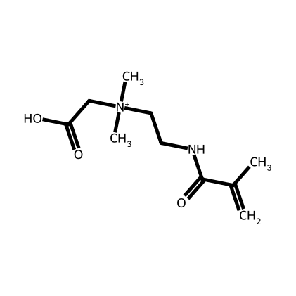 C=C(C)C(=O)NCC[N+](C)(C)CC(=O)O